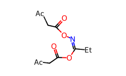 CCC(=NOC(=O)CC(C)=O)OC(=O)CC(C)=O